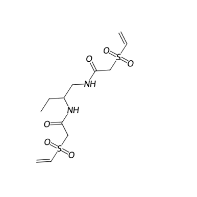 C=CS(=O)(=O)CC(=O)NCC(CC)NC(=O)CS(=O)(=O)C=C